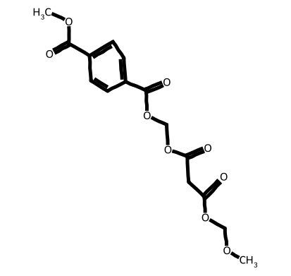 COCOC(=O)CC(=O)OCOC(=O)c1ccc(C(=O)OC)cc1